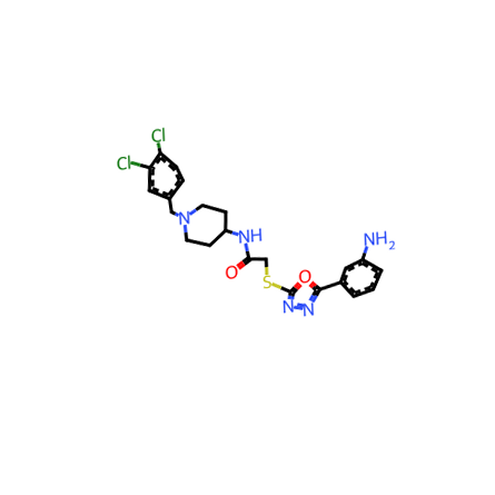 Nc1cccc(-c2nnc(SCC(=O)NC3CCN(Cc4ccc(Cl)c(Cl)c4)CC3)o2)c1